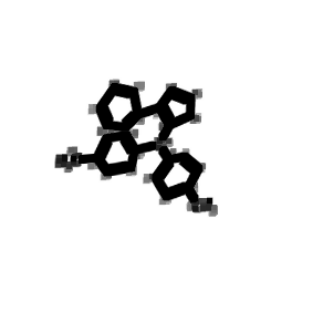 Cc1cc[c]([Ti]([C]2=C(c3ccccc3)C=CC2)[c]2ccc(C)cc2)cc1